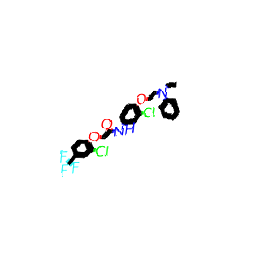 CCN(CCOc1ccc(NC(=O)COc2ccc(C(F)(F)F)cc2Cl)cc1Cl)c1ccccc1